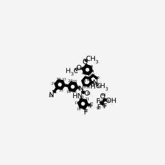 COc1ccc([C@@]23CC[C@@H](N(C(=O)Nc4ccc(F)c(F)c4)c4ccc(-c5cccc(C#N)c5)cc4)C[C@@H]2N(C)CC3)cc1OC.O=C(O)C(F)(F)F